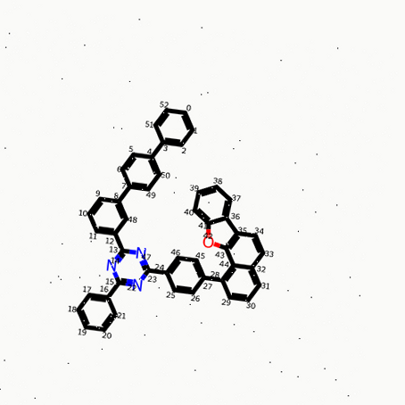 c1ccc(-c2ccc(-c3cccc(-c4nc(-c5ccccc5)nc(-c5ccc(-c6cccc7ccc8c9ccccc9oc8c67)cc5)n4)c3)cc2)cc1